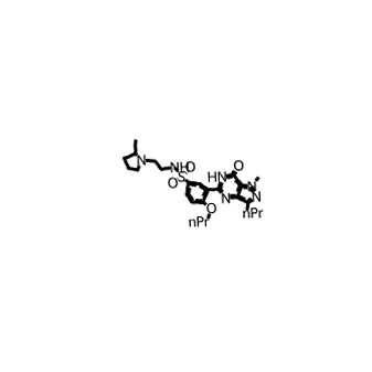 CCCOc1ccc(S(=O)(=O)NCCN2CCCC2C)cc1-c1nc2c(CCC)nn(C)c2c(=O)[nH]1